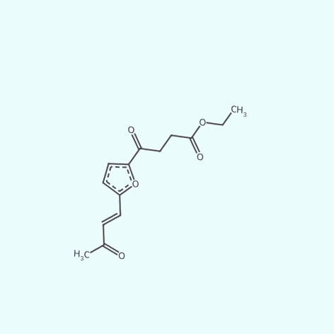 CCOC(=O)CCC(=O)c1ccc(C=CC(C)=O)o1